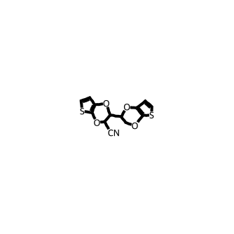 N#CC1Oc2sccc2OC1C1COc2sccc2O1